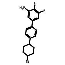 CCC1CCC(c2ccc(-c3cc(F)c(F)c(P)c3)cc2)CC1